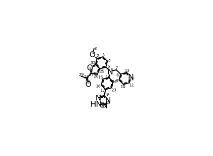 COc1ccc(N(Cc2cccnc2)c2ccc(-c3nn[nH]n3)cc2)c2cc(C(C)=O)oc12